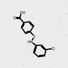 O=C(O)c1ccc(SNc2cccc(Cl)c2)cc1